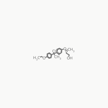 CCOc1ccc(C(C)(C)c2ccc(ON(C)CCO)cc2)cc1